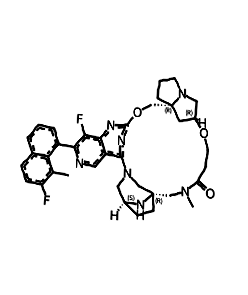 Cc1c(F)ccc2cccc(-c3ncc4c5nc(nc4c3F)OC[C@]34CCCN3C[C@@H](C4)OCCC(=O)N(C)C[C@@]34CC[C@@H](CN5C3)N4)c12